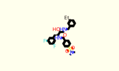 CCc1cccc(CNC[C@@H](O)[C@H](Cc2cc(F)cc(F)c2)NC(=O)c2ccc(S(=O)(=O)N(C)C)cc2)c1